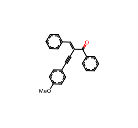 COc1ccc(C#C/C(=C\c2ccccc2)C(=O)c2ccccc2)cc1